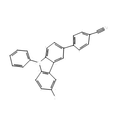 N#Cc1ccc(-c2ccc3c(c2)c2cc(Br)ccc2n3-c2ccccc2)cc1